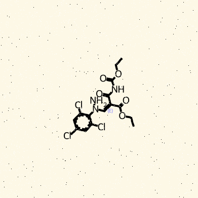 CCOC(=O)NC(=O)/C(=C\N(N)c1c(Cl)cc(Cl)cc1Cl)C(=O)OCC